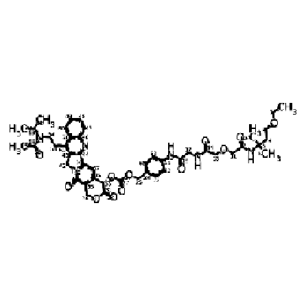 CCOCCC(C)(C)NC(=O)COCC(=O)NCC(=O)Nc1ccc(COC(=O)O[C@@H]2C(=O)OCc3c2cc2n(c3=O)Cc3c-2nc2ccccc2c3CCN(C(C)=O)C(C)C)cc1